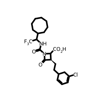 O=C(O)C1[C@@H](CCC2C=CC=C(Cl)C2)C(=O)N1C(=O)NC(C1CCCCCCC1)C(F)(F)F